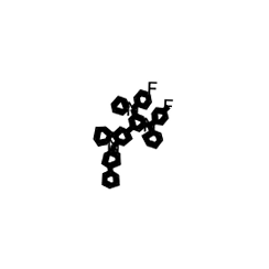 Fc1ccc(N(c2ccccc2)c2cc(-c3ccc4c(c3)c3ccccc3n4-c3ccc(-c4ccccc4)cc3)cc(N(c3ccccc3)c3ccc(F)cc3)c2)cc1